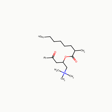 CCCCCCCCCCCCCCCC(C)C(=O)OC(CC(=O)C(C)C)C[N+](C)(C)C